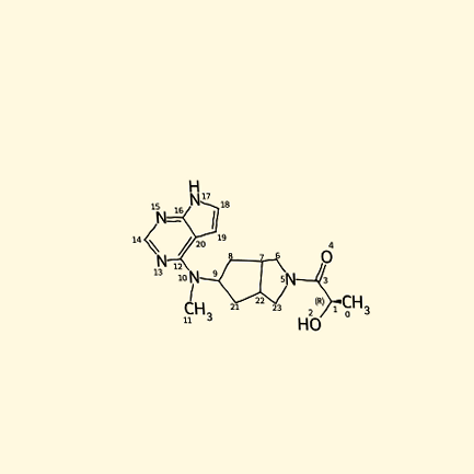 C[C@@H](O)C(=O)N1CC2CC(N(C)c3ncnc4[nH]ccc34)CC2C1